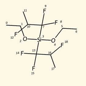 CCO[Si](OCC)(C(F)(F)C(C)F)C(F)(F)C(C)F